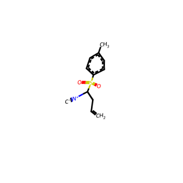 [C-]#[N+]C(CC=C)S(=O)(=O)c1ccc(C)cc1